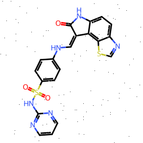 O=C1Nc2ccc3ncsc3c2/C1=C/Nc1ccc(S(=O)(=O)Nc2ncccn2)cc1